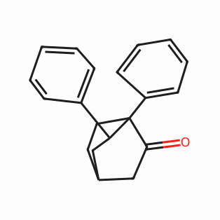 O=C1CC2CCC1(c1ccccc1)C(c1ccccc1)C2